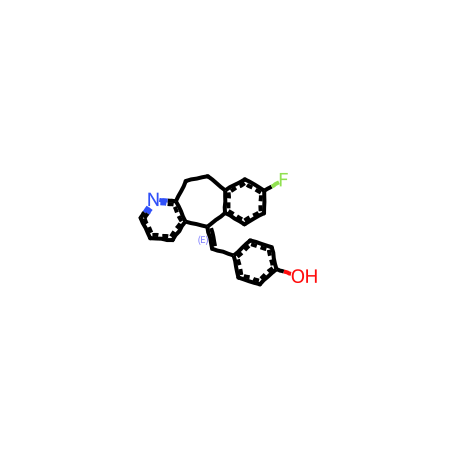 Oc1ccc(/C=C2\c3ccc(F)cc3CCc3ncccc32)cc1